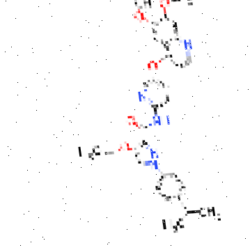 CCOc1cn(-c2ccc(C(C)C)cc2)nc1C(=O)Nc1ccc(Oc2ccnc3cc(OC)c(OC)cc23)cn1